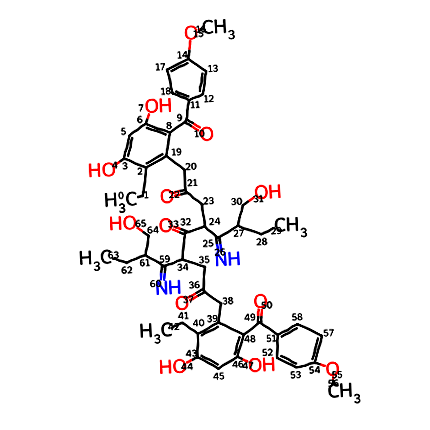 CCc1c(O)cc(O)c(C(=O)c2ccc(OC)cc2)c1CC(=O)CC(C(=N)C(CC)CO)C(=O)C(CC(=O)Cc1c(CC)c(O)cc(O)c1C(=O)c1ccc(OC)cc1)C(=N)C(CC)CO